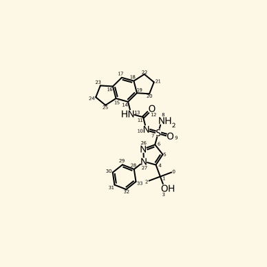 CC(C)(O)c1cc(S(N)(=O)=NC(=O)Nc2c3c(cc4c2CCC4)CCC3)nn1-c1ccccc1